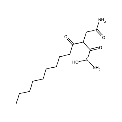 CCCCCCCCCC(=O)C(CC(N)=O)C(=O)N(N)O